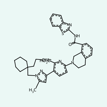 COCCC1(Cn2nc(-c3ccc(N4CCc5cccc(C(=O)Nc6nc7ccccc7s6)c5C4)nc3C(=O)O)cc2C)CCCCC1